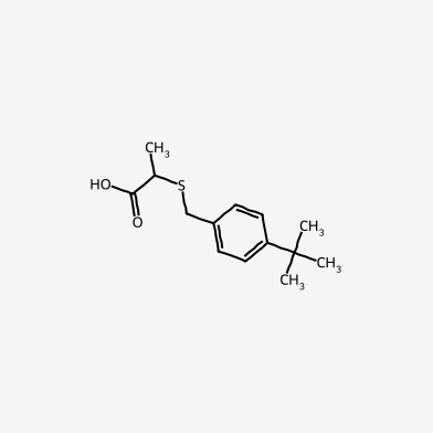 CC(SCc1ccc(C(C)(C)C)cc1)C(=O)O